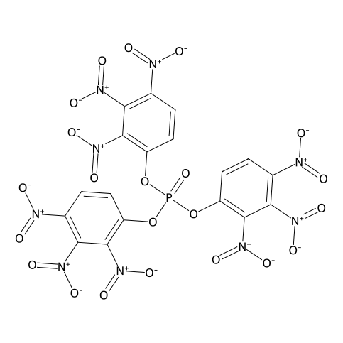 O=[N+]([O-])c1ccc(OP(=O)(Oc2ccc([N+](=O)[O-])c([N+](=O)[O-])c2[N+](=O)[O-])Oc2ccc([N+](=O)[O-])c([N+](=O)[O-])c2[N+](=O)[O-])c([N+](=O)[O-])c1[N+](=O)[O-]